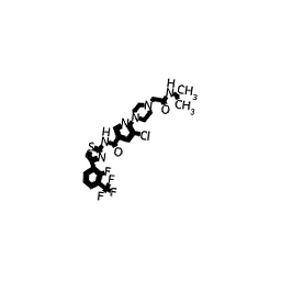 CC(C)NC(=O)CN1CCN(c2ncc(C(=O)Nc3nc(-c4cccc(C(F)(F)F)c4F)cs3)cc2Cl)CC1